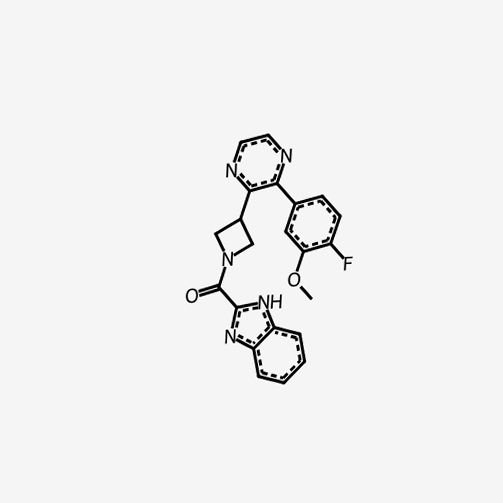 COc1cc(-c2nccnc2C2CN(C(=O)c3nc4ccccc4[nH]3)C2)ccc1F